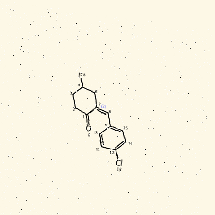 O=C1CCC(F)C/C1=C/c1ccc(Cl)cc1